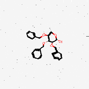 C[C@@H]1O[C@H](O)[C@@H](OCc2ccccc2)[C@H](OCc2ccccc2)[C@H]1OCc1ccccc1